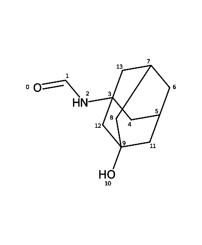 O=CNC12CC3CC(CC(O)(C3)C1)C2